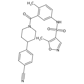 Cc1ccc(NS(=O)(=O)c2cnoc2C)cc1C(=O)N1CCC(c2ccc(C#N)cc2)CC1